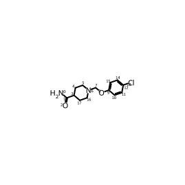 NC(=O)C1CCN(COc2ccc(Cl)cc2)CC1